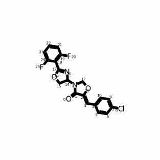 O=C1C(=Cc2ccc(Cl)cc2)OCN1C1COC(c2c(F)cccc2F)=N1